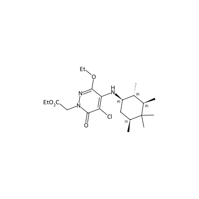 CCOC(=O)Cn1nc(OCC)c(N[C@@H]2C[C@H](C)C(C)(C)[C@H](C)[C@H]2C)c(Cl)c1=O